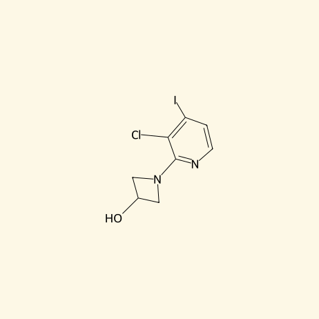 OC1CN(c2nccc(I)c2Cl)C1